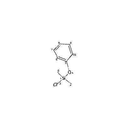 C[Si](C)(Cl)Oc1ccccc1